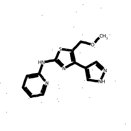 COCc1sc(Nc2ccccn2)nc1-c1cn[nH]c1